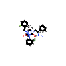 NC(Cn1c(=O)n(Cc2c(F)cccc2C(F)(F)F)c(=O)n(-c2ccccc2Cl)c1=O)c1ccccc1